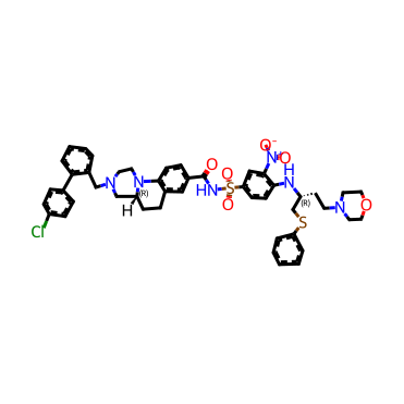 O=C(NS(=O)(=O)c1ccc(N[C@H](CCN2CCOCC2)CSc2ccccc2)c([N+](=O)[O-])c1)c1ccc2c(c1)CC[C@@H]1CN(Cc3ccccc3-c3ccc(Cl)cc3)CCN21